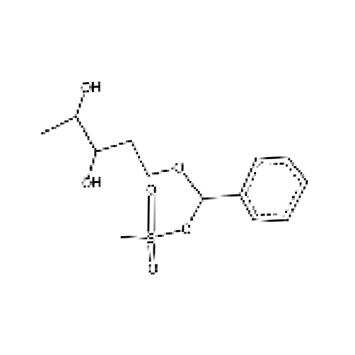 CC(O)C(O)CCOC(OS(C)(=O)=O)c1ccccc1